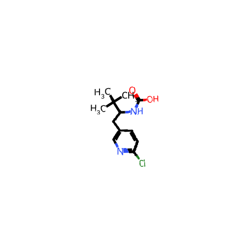 CC(C)(C)C(Cc1ccc(Cl)nc1)NC(=O)O